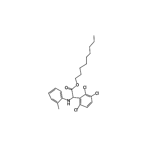 CCCCCCCCCOC(=O)C(Nc1ccccc1C)c1c(Cl)ccc(Cl)c1Cl